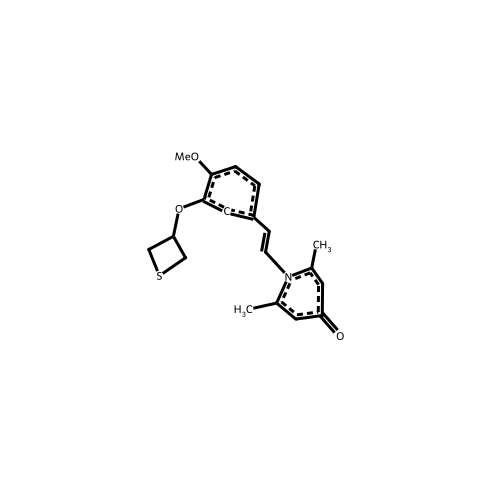 COc1ccc(/C=C/n2c(C)cc(=O)cc2C)cc1OC1CSC1